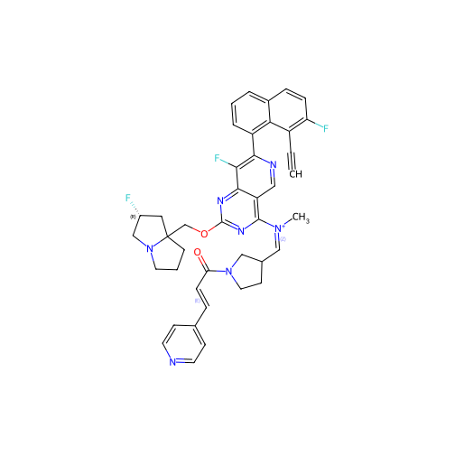 C#Cc1c(F)ccc2cccc(-c3ncc4c(/[N+](C)=C\C5CCN(C(=O)/C=C/c6ccncc6)C5)nc(OCC56CCCN5C[C@H](F)C6)nc4c3F)c12